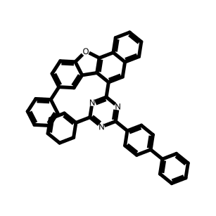 C1=CCCC(c2nc(-c3ccc(-c4ccccc4)cc3)nc(-c3cc4ccccc4c4oc5ccc(-c6ccccc6)cc5c34)n2)=C1